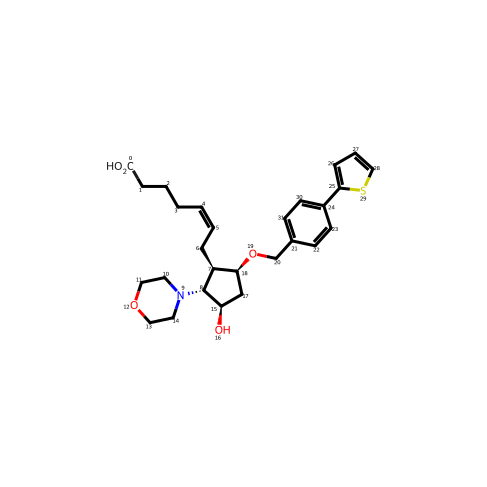 O=C(O)CCC/C=C\C[C@@H]1[C@@H](N2CCOCC2)[C@H](O)C[C@@H]1OCc1ccc(-c2cccs2)cc1